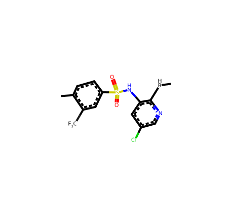 CBc1ncc(Cl)cc1NS(=O)(=O)c1ccc(C)c(C(F)(F)F)c1